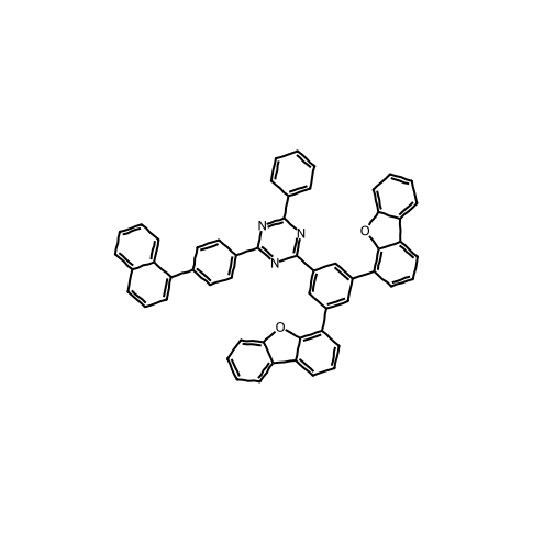 c1ccc(-c2nc(-c3ccc(-c4cccc5ccccc45)cc3)nc(-c3cc(-c4cccc5c4oc4ccccc45)cc(-c4cccc5c4oc4ccccc45)c3)n2)cc1